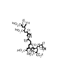 C#CC(CC(C)C(=O)O)CC(CC(CC)c1cn(C(CC)CC(CC(CC(C)C(=O)O)n2cc(C(CC(C)C(=O)O)CC(CC(C#C)CC)C(=O)O)nn2)C(=O)O)nn1)C(=O)O